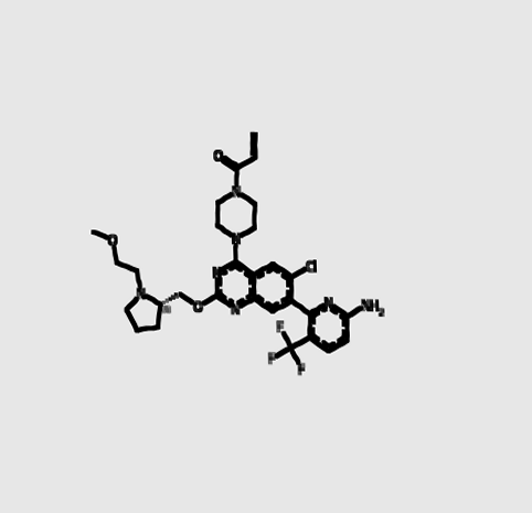 C=CC(=O)N1CCN(c2nc(OC[C@@H]3CCCN3CCOC)nc3cc(-c4nc(N)ccc4C(F)(F)F)c(Cl)cc23)CC1